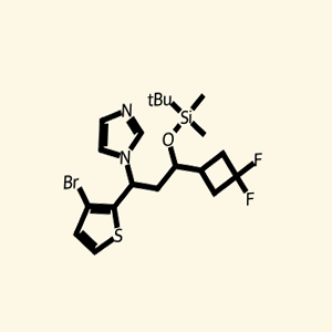 CC(C)(C)[Si](C)(C)OC(CC(c1sccc1Br)n1ccnc1)C1CC(F)(F)C1